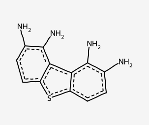 Nc1ccc2sc3ccc(N)c(N)c3c2c1N